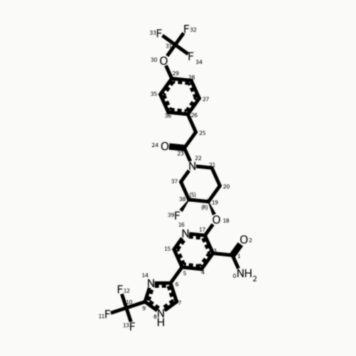 NC(=O)c1cc(-c2c[nH]c(C(F)(F)F)n2)cnc1O[C@@H]1CCN(C(=O)Cc2ccc(OC(F)(F)F)cc2)C[C@@H]1F